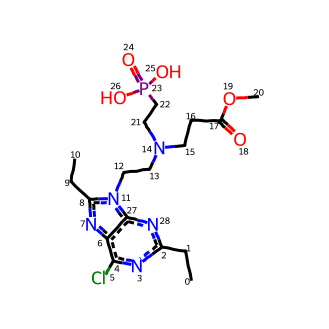 CCc1nc(Cl)c2nc(CC)n(CCN(CCC(=O)OC)CCP(=O)(O)O)c2n1